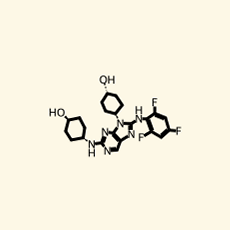 O[C@H]1CC[C@H](Nc2ncc3nc(Nc4c(F)cc(F)cc4F)n([C@H]4CC[C@@H](O)CC4)c3n2)CC1